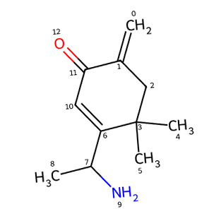 C=C1CC(C)(C)C(C(C)N)=CC1=O